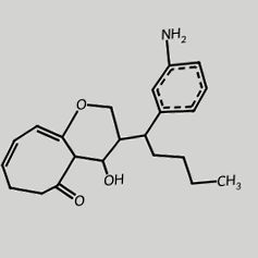 CCCCC(c1cccc(N)c1)C1COC2=CC=CCCC(=O)C2C1O